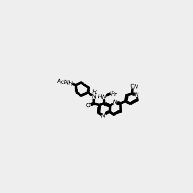 CC(=O)NC1CCC(NC(=O)c2cnc3ccc(-c4ccnc(C#N)c4)nc3c2NC(C)C)CC1